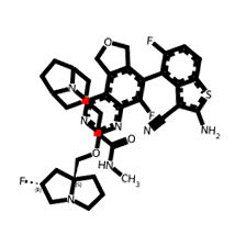 CNC(=O)CCN1CC2CCC(C1)N2c1nc(OC[C@@]23CCCN2C[C@H](F)C3)nc2c(F)c(-c3c(F)ccc4sc(N)c(C#N)c34)c3c(c12)COC3